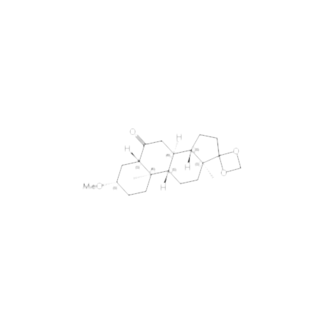 CO[C@H]1CC[C@@]2(C)[C@H](C1)C(=O)C[C@@H]1[C@@H]2CC[C@@]2(C)[C@H]1CCC21OCO1